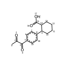 CC(=O)C(=O)c1ccc(C2CCCCC2C(=O)O)cc1